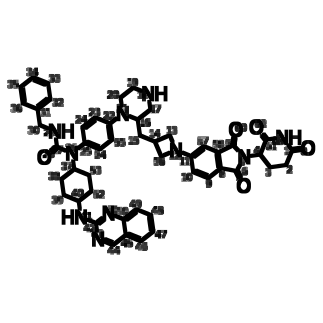 O=C1CCC(N2C(=O)c3ccc(N4CC(CC5CNCCN5c5ccc(N(C(=O)NCc6ccccc6)C6CCC(Nc7ncc8ccccc8n7)CC6)cc5)C4)cc3C2=O)C(=O)N1